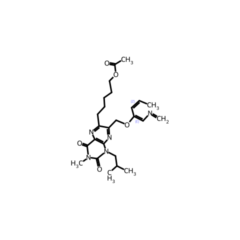 C=N/C=C(\C=C/C)OCc1nc2c(nc1CCCCCOC(C)=O)c(=O)n(C)c(=O)n2CC(C)C